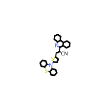 N#C/C(=C\c1ccc(N2c3ccccc3Sc3ccccc32)s1)c1nc2ccccc2c2ccccc12